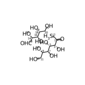 O=C([SiH3])[C@H](O)[C@@H](O)[C@@H](O)[C@H](O)CO.O=C[C@@H](O)[C@H](O)[C@H](O)CO